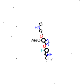 COc1cc2c(Oc3ccc4[nH]c(C)cc4c3F)ncnc2cc1OC[C@H]1C[C@H](NC2CCC2)C1